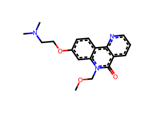 COCn1c(=O)c2cccnc2c2ccc(OCCN(C)C)cc21